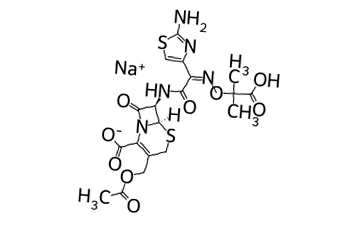 CC(=O)OCC1=C(C(=O)[O-])N2C(=O)[C@@H](NC(=O)/C(=N\OC(C)(C)C(=O)O)c3csc(N)n3)[C@H]2SC1.[Na+]